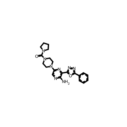 Nc1ncc(N2CCN(C(=O)N3CCCC3)CC2)nc1-c1nnc(-c2ccccc2)o1